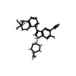 Cc1cc2c(cc1C#N)c(-c1cccc3c1CCC(C)(C)N3)cn2[C@H]1CC[C@H](O)CC1